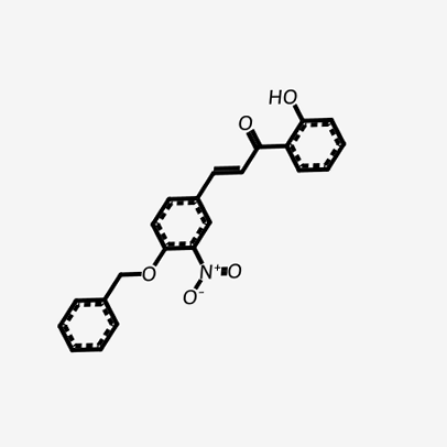 O=C(/C=C/c1ccc(OCc2ccccc2)c([N+](=O)[O-])c1)c1ccccc1O